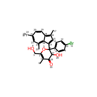 CC1=C(CO)OC(c2ccc(Br)cc2)(c2cc(C)c3ccc(C(C)C)cc(C)c2-3)C(O)C1=O